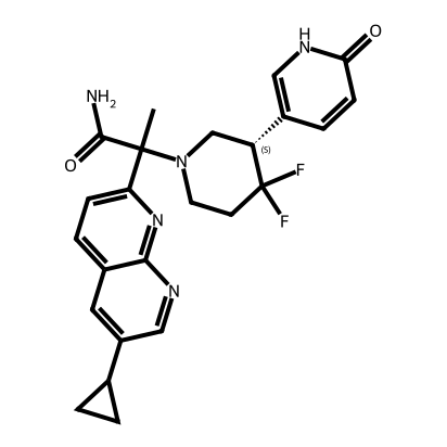 CC(C(N)=O)(c1ccc2cc(C3CC3)cnc2n1)N1CCC(F)(F)[C@@H](c2ccc(=O)[nH]c2)C1